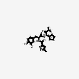 Cc1cc(C(=O)NC(Cc2ccc(O)c(Cl)c2)C(=O)N[C@H](C(=O)C(C)C)C2CCCC2)no1